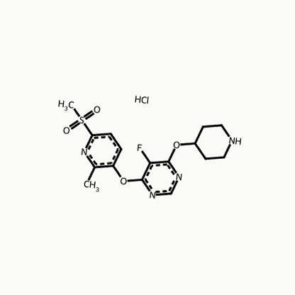 Cc1nc(S(C)(=O)=O)ccc1Oc1ncnc(OC2CCNCC2)c1F.Cl